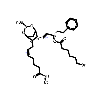 CCCCB1OC2CC(O1)[C@H](C/C=C\CCCC(=O)NCC)[C@H]2/C=C/[C@H](CCc1ccccc1)OC(=O)CCCCCBr